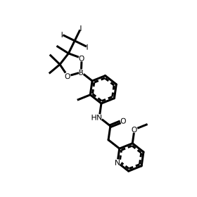 COc1cccnc1CC(=O)Nc1cccc(B2OC(C)(C)C(C)(C(I)(I)I)O2)c1C